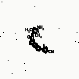 Cc1cc(N)nc(C)c1CNC(=O)c1ccc2c(c1)C1OC2c2ccc(-c3ccc(C#N)cc3F)cc21